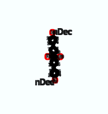 CCCCCCCCCCOc1ccc(C2CCC3(CC2)C(=O)C2(CCC(c4ccc(OCCCCCCCCCC)cc4)CC2)C3=O)cc1